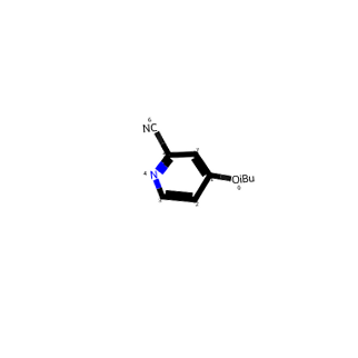 CC(C)COc1ccnc(C#N)c1